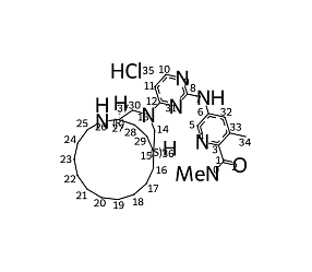 CNC(=O)c1ncc(Nc2nccc(N3C[C@H]4CCCCCCCCCCN[C@H](CC4)C3)n2)cc1C.Cl